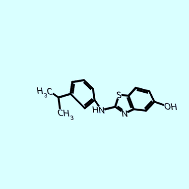 CC(C)c1cccc(Nc2nc3cc(O)ccc3s2)c1